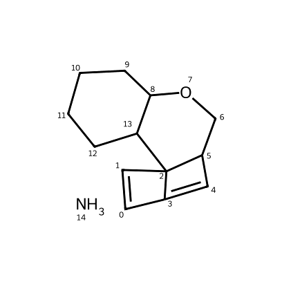 C1=CC23C1=CC2COC1CCCCC13.N